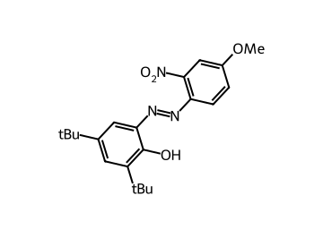 COc1ccc(N=Nc2cc(C(C)(C)C)cc(C(C)(C)C)c2O)c([N+](=O)[O-])c1